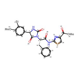 CCc1cc(C2NC(=O)N([C@@H](Cc3ccccc3)C(=O)Nc3nc(C(=O)OC)cs3)C2=O)ccc1OC